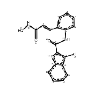 O=C(C=Cc1ccccc1NC(=O)c1sc2ccccc2c1Cl)NO